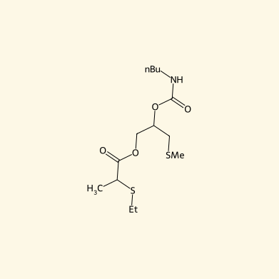 CCCCNC(=O)OC(COC(=O)C(C)SCC)CSC